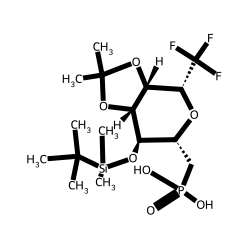 CC1(C)O[C@@H]2[C@H](O1)[C@H](C(F)(F)F)O[C@H](CP(=O)(O)O)[C@H]2O[Si](C)(C)C(C)(C)C